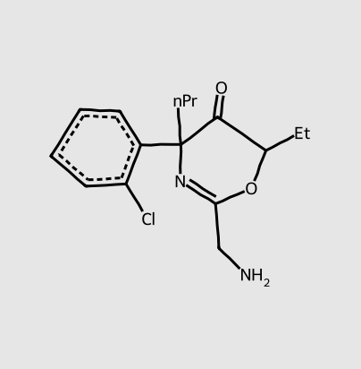 CCCC1(c2ccccc2Cl)N=C(CN)OC(CC)C1=O